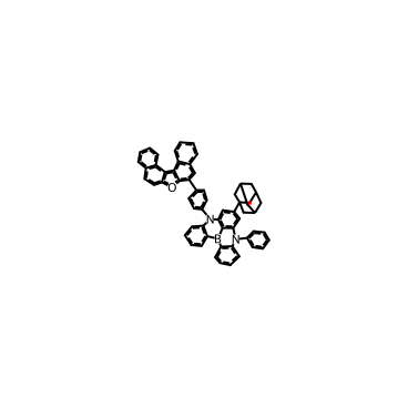 c1ccc(N2c3ccccc3B3c4ccccc4N(c4ccc(-c5cc6ccccc6c6c5oc5ccc7ccccc7c56)cc4)c4cc(C56CC7CC(CC(C7)C5)C6)cc2c43)cc1